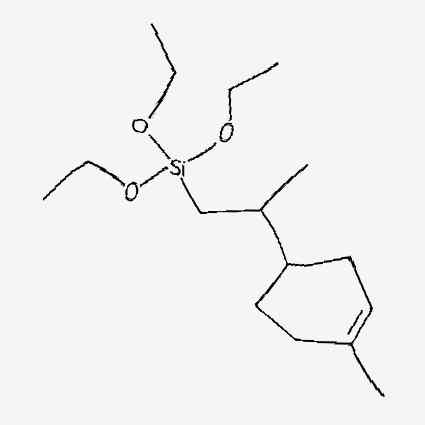 CCO[Si](CC(C)C1CC=C(C)CC1)(OCC)OCC